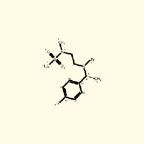 CC(C)N(CCN(C)S(C)(=O)=O)[C@H](C)c1ccc(F)cc1